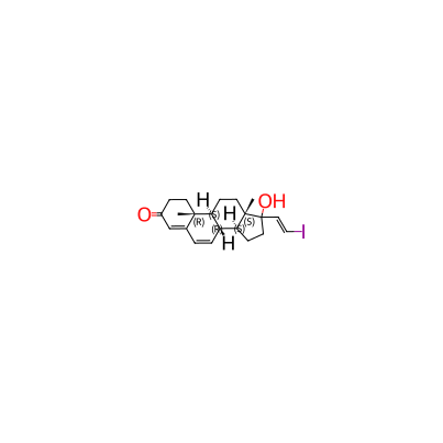 C[C@]12CCC(=O)C=C1C=C[C@@H]1[C@@H]2CC[C@@]2(C)[C@H]1CCC2(O)C=CI